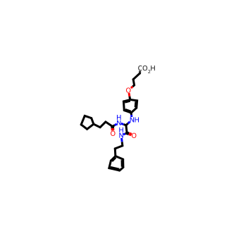 O=C(O)CCCOc1ccc(NC(NC(=O)CCC2CCCC2)C(=O)NCCc2ccccc2)cc1